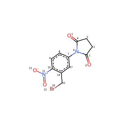 O=C1CCC(=O)N1c1ccc([N+](=O)[O-])c(CBr)c1